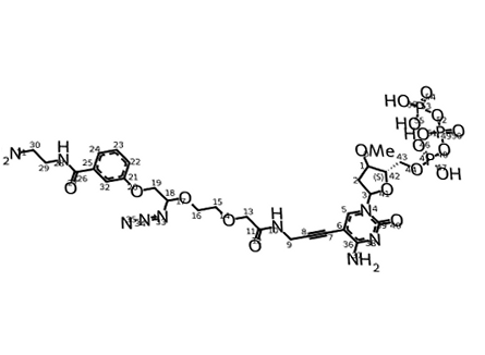 COC1CC(n2cc(C#CCNC(=O)COCCOC(COc3cccc(C(=O)NCCN)c3)N=[N+]=[N-])c(N)nc2=O)O[C@H]1COP(=O)(O)OP(=O)(O)OP(=O)(O)O